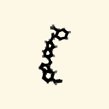 COc1ccc2ncn(Cc3ccc4nc(NC5CCCCC5O)sc4c3)c2n1